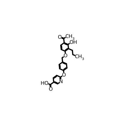 CCCc1c(OCc2ccc(Oc3ccc(C(=O)O)cn3)cc2)ccc(C(C)=O)c1O